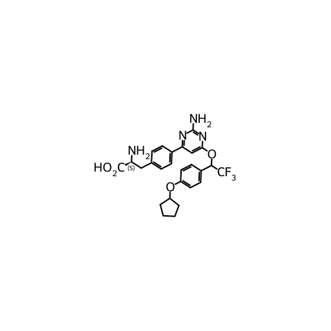 Nc1nc(OC(c2ccc(OC3CCCC3)cc2)C(F)(F)F)cc(-c2ccc(C[C@H](N)C(=O)O)cc2)n1